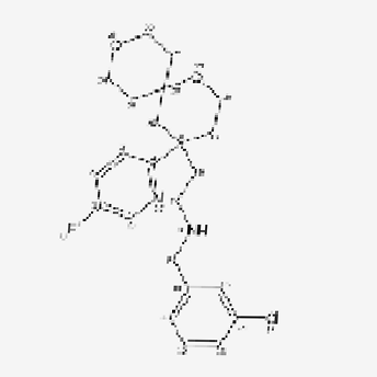 Fc1ccc(C2(CCNCc3cccc(Cl)c3)CCOC3(CCOCC3)C2)nc1